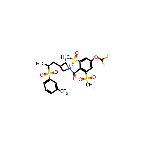 CC(CC1CN(C(=O)c2c(S(C)(=O)=O)cc(OC(F)F)cc2S(C)(=O)=O)C1)S(=O)(=O)c1cccc(C(F)(F)F)c1